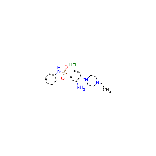 CCN1CCN(c2ccc(S(=O)(=O)Nc3ccccc3)cc2N)CC1.Cl